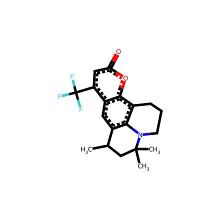 CC1CC(C)(C)N2CCCc3c2c1cc1c(C(F)(F)F)cc(=O)oc31